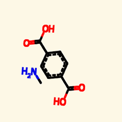 CN.O=C(O)c1ccc(C(=O)O)cc1